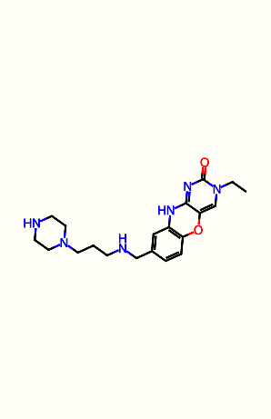 CCn1cc2c(nc1=O)Nc1cc(CNCCCN3CCNCC3)ccc1O2